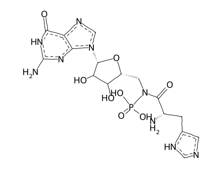 Nc1nc2c(ncn2[C@@H]2O[C@H](CN(C(=O)[C@@H](N)Cc3cnc[nH]3)P(=O)(O)O)C(O)C2O)c(=O)[nH]1